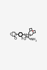 NC[C@@H](C(=O)Nc1ccc(N2CCOCC2=O)cc1F)N(CC1CCC1)CC1CCC1